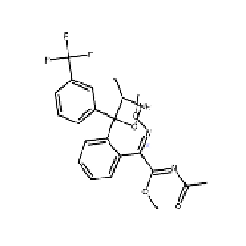 CO/N=C(/C(=NC(C)=O)OC)c1ccccc1C1(c2cccc(C(F)(F)F)c2)ONC1C